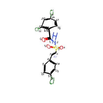 O=C(NS(=O)(=O)/C=C/c1ccc(Cl)cc1)c1ccc(Cl)cc1Cl